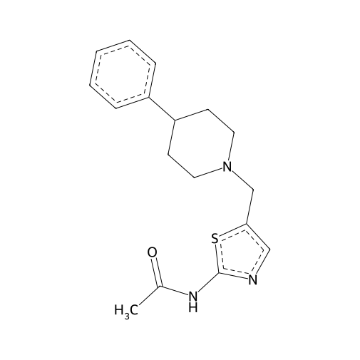 CC(=O)Nc1ncc(CN2CCC(c3ccccc3)CC2)s1